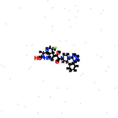 CC(=NO)c1ncc(F)c2c(C(=O)C(=O)N3CCN(c4nnnn4-c4ccccc4)CC3)c[nH]c12